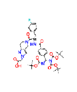 CC(C)(C)OC(=O)N=C(c1ccc(C(=O)N[C@@H](Cc2ccc(F)cc2)C(=O)N2CCc3nn(CC(=O)O)cc3C2)cc1)N(C(=O)OC(C)(C)C)C(=O)OC(C)(C)C